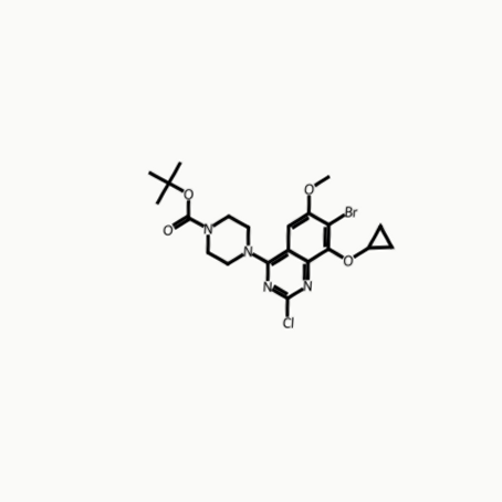 COc1cc2c(N3CCN(C(=O)OC(C)(C)C)CC3)nc(Cl)nc2c(OC2CC2)c1Br